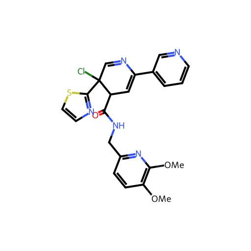 COc1ccc(CNC(=O)C2C=C(c3cccnc3)N=CC2(Cl)c2nccs2)nc1OC